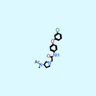 CC(=O)N(C)[C@H]1CCN(CC(=O)Nc2ccc(Oc3cccc(Cl)c3)cc2)C1